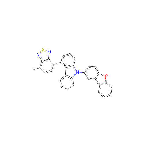 Cc1ccc(-c2cccc3c2c2ccccc2n3-c2ccc3oc4ccccc4c3c2)c2nsnc12